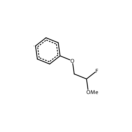 COC(F)COc1cc[c]cc1